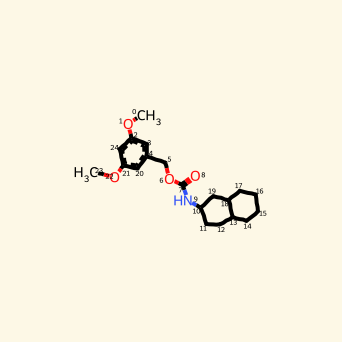 COc1cc(COC(=O)NC2CCC3CCCCC3C2)cc(OC)c1